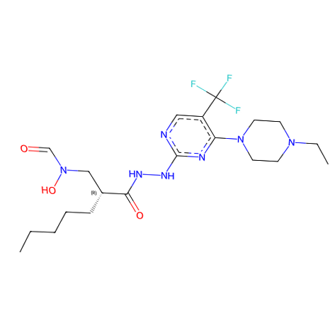 CCCCC[C@H](CN(O)C=O)C(=O)NNc1ncc(C(F)(F)F)c(N2CCN(CC)CC2)n1